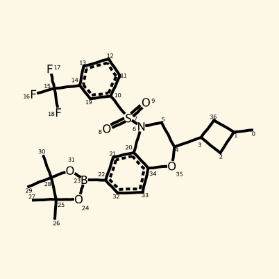 CC1CC(C2CN(S(=O)(=O)c3cccc(C(F)(F)F)c3)c3cc(B4OC(C)(C)C(C)(C)O4)ccc3O2)C1